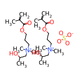 C=C(C)C(=O)OCCC[N+](C)(C)CC(C)O.C=C(C)C(=O)OCCC[N+](C)(C)CC(C)O.O=S(=O)([O-])[O-]